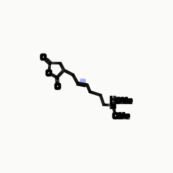 CO[SiH](CCC/C=C/CC1CC(=O)OC1=O)OC